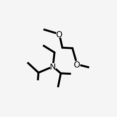 CCN(C(C)C)C(C)C.COCCOC